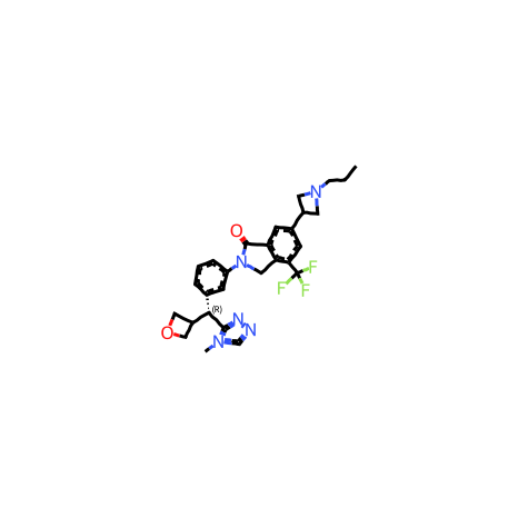 CCCN1CC(c2cc3c(c(C(F)(F)F)c2)CN(c2cccc([C@H](c4nncn4C)C4COC4)c2)C3=O)C1